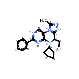 CCC1c2nnc(C)n2-c2cnc(-c3ccccc3)nc2N1C1CCCC1